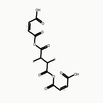 O=C(O)/C=C\C(=O)OC(=O)C(I)C(I)C(=O)OC(=O)/C=C\C(=O)O